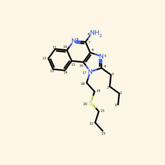 CCCCc1nc2c(N)nc3ccccc3c2n1CCSCCC